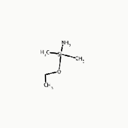 CCO[Si](C)(C)N